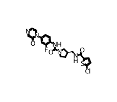 O=C(NC[C@H]1CCN(C(=O)Nc2ccc(-n3ccncc3=O)cc2F)C1)c1ccc(Cl)s1